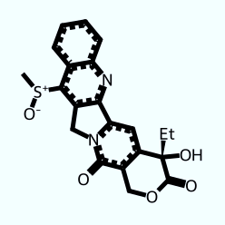 CC[C@@]1(O)C(=O)OCc2c1cc1n(c2=O)Cc2c-1nc1ccccc1c2[S+](C)[O-]